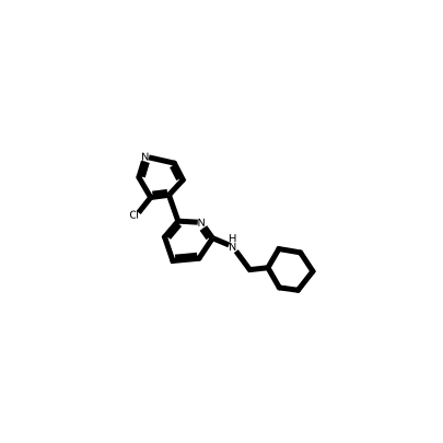 Clc1cnccc1-c1cccc(NCC2CCCCC2)n1